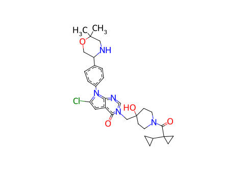 CC1(C)CNC(c2ccc(-n3c(Cl)cc4c(=O)n(CC5(O)CCN(C(=O)C6(C7CC7)CC6)CC5)cnc43)cc2)CO1